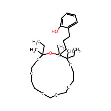 CCC1(C)CCCCCCCCCCCCCC(C)(CC)[Si](C)(CCCc2ccccc2O)O1